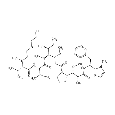 CC[C@H](C)[C@@H]([C@@H](CC(=O)N1CCC[C@H]1[C@H](OC)[C@@H](C)C(=O)N[C@@H](Cc1ccccc1)C1SC=CN1C)OC)N(C)C(=O)[C@@H](NC(=O)[C@H](C(C)C)N(C)CCOCCO)C(C)C